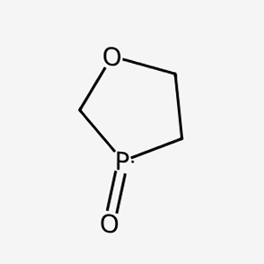 O=[P]1CCOC1